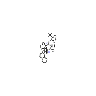 CCOc1ccc2ccccc2c1/C=c1\[nH]c(=O)/c(=C/c2ncoc2C(C)(C)C)[nH]c1=O